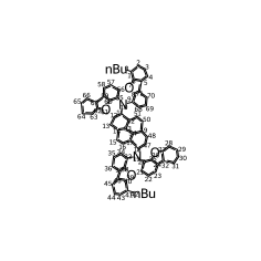 CCCCc1cccc2c1oc1c(N(c3ccc4ccc5c(N(c6cccc7c6oc6ccccc67)c6cccc7c6oc6c(CCCC)cccc67)ccc6ccc3c4c65)c3cccc4c3oc3ccccc34)cccc12